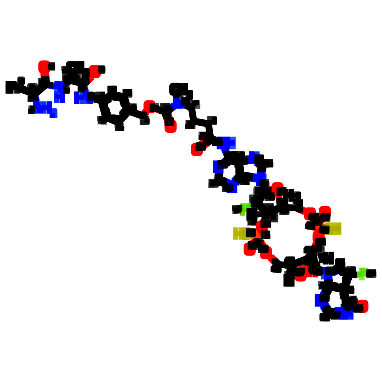 CC(C)[C@H](N)C(=O)N[C@@H](C)C(=O)Nc1ccc(COC(=O)N(C)CCCC(=O)Nc2ncnc3c2ncn3[C@@H]2O[C@@H]3CO[P@@](=O)(S)O[C@@H]4[C@H](O)[C@@H](CO[P@@](=O)(S)O[C@H]3[C@H]2F)O[C@H]4n2cc(F)c3c(=O)[nH]cnc32)cc1